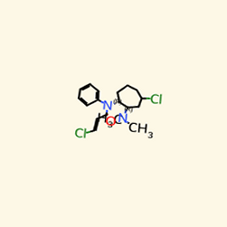 CN(C)[C@@H]1CC(Cl)CCC[C@H]1N(C(=O)C=CCl)c1ccccc1